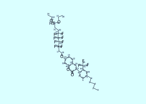 CCCCCc1ccc(-c2cc3ccc(OCCC(F)(F)C(F)(F)C(F)(F)C(F)(F)CC[SiH](OCC)OCC)cc3oc2=O)c(C(F)(F)F)c1